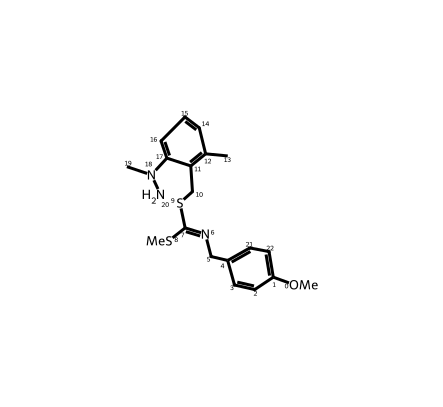 COc1ccc(C/N=C(\SC)SCc2c(C)cccc2N(C)N)cc1